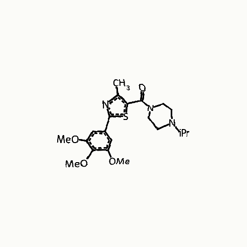 COc1cc(-c2nc(C)c(C(=O)N3CCN(C(C)C)CC3)s2)cc(OC)c1OC